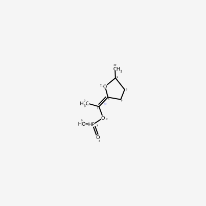 C/C(O[PH](=O)O)=C1/CCC(C)O1